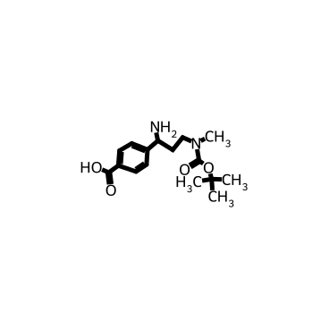 CN(CCC(N)c1ccc(C(=O)O)cc1)C(=O)OC(C)(C)C